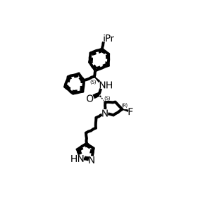 CC(C)c1ccc([C@@H](NC(=O)[C@@H]2C[C@@H](F)CN2CCCc2cn[nH]c2)c2ccccc2)cc1